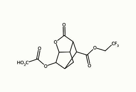 O=C(O)C(=O)OC1C2CC3C1OC(=O)C3C2C(=O)OCC(F)(F)F